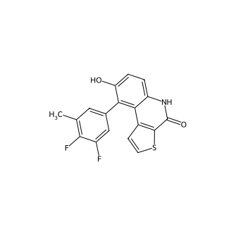 Cc1cc(-c2c(O)ccc3[nH]c(=O)c4sccc4c23)cc(F)c1F